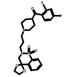 O=C(c1ccc(F)cc1F)C1CCN(CCCN2CC3(OCCO3)c3ccccc3S2(=O)=O)CC1